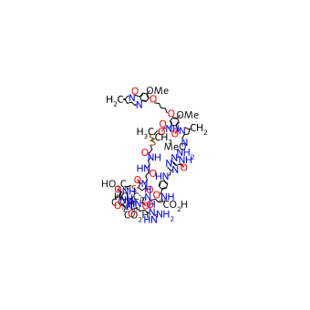 C=C1CC2C=Nc3cc(OCCCCCOc4cc(NC(=O)OCC(C)(C)SSCCC(=O)NCCNC(=O)CCN5C(=O)CC(SC[C@H](NC(=O)[C@H](CC(=O)O)NC(=O)[C@H](CC(=O)O)NC(=O)[C@H](CCCNC(=N)N)NC(=O)[C@H](CC(=O)O)NC(=O)CC[C@H](NC(=O)c6ccc(NCc7cnc8nc(N)[nH]c(=O)c8n7)cc6)C(=O)O)C(=O)O)C5=O)c(C(=O)N5CC(=C)CC5/C=N/OC)cc4OC)c(OC)cc3C(=O)N2C1